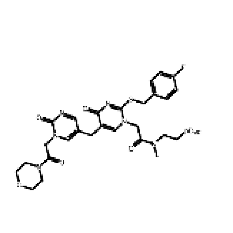 CCCCCCCCCCCCN(C)C(=O)Cn1cc(Cc2cnc(=O)n(CC(=O)N3CCOCC3)c2)c(=O)nc1SCc1ccc(F)cc1